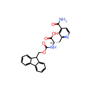 NC(=O)c1ccnc(C[C@H](NC(=O)OCC2c3ccccc3-c3ccccc32)C(=O)O)c1